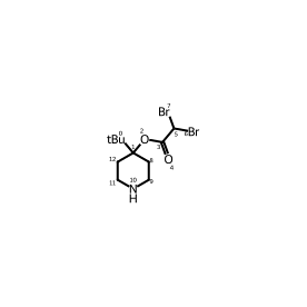 CC(C)(C)C1(OC(=O)C(Br)Br)CCNCC1